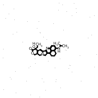 CC[C@@]1(O)C(=O)OCC2=C1C=C1c3nc4ccc(NC(C)C)c5c4c(c3CN1C2)CCC5